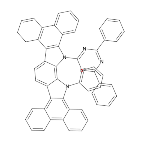 C1=Cc2c(c3c4ccc5c6c7ccccc7c7ccccc7c6n(-c6ccccc6)c5c4n(-c4nc(-c5ccccc5)nc(-c5ccccc5)n4)c3c3ccccc23)CC1